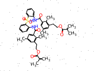 C=C(C)C(=O)OCCc1cc(C)cc(C(=O)Nc2ccccc2S(=O)(=O)c2ccccc2NC(=O)c2cc(C)cc(CCOC(=O)C(=C)C)c2C)c1C